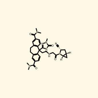 CN(C)C(=O)c1ccc2c(c1)CCc1cc(C(=O)N(C)C)ccc1C2(CCNCC(=O)N1[C@H](C#N)C[C@@H]2C[C@@H]21)c1nn(C)c(=O)[nH]1